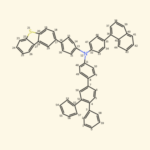 c1ccc(-c2ccc(-c3ccc(N(c4ccc(-c5ccc6sc7ccccc7c6c5)cc4)c4ccc(-c5cccc6ccccc56)cc4)cc3)cc2-c2ccccc2)cc1